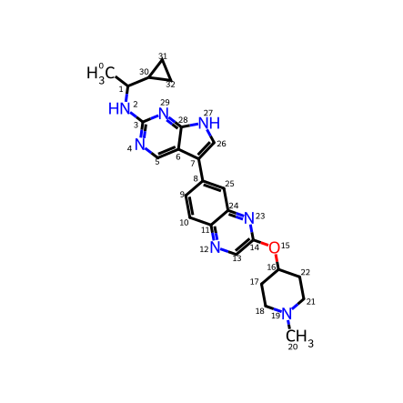 CC(Nc1ncc2c(-c3ccc4ncc(OC5CCN(C)CC5)nc4c3)c[nH]c2n1)C1CC1